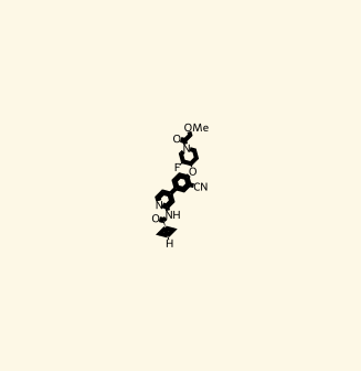 COCC(=O)N1CC[C@H](Oc2ccc(-c3ccnc(NC(=O)[C@]45C[C@H]4C5)c3)cc2C#N)[C@H](F)C1